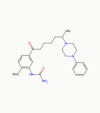 CCCCC(CCCCC(=O)c1ccc(SC)c(NC(N)=O)c1)N1CCN(c2ccccc2)CC1